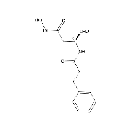 CC(C)(C)NC(=O)C[C@@H](C=O)NC(=O)CCc1ccccc1